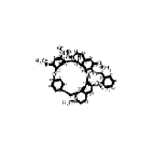 COc1cc([N+](=O)[O-])c2cc1Oc1ccc(cc1)CC1c3cc(c(OC)cc3CCN1C)Oc1c(OCc3ccccc3)c(OC)cc3c1[C@H](C2)N(C)CC3